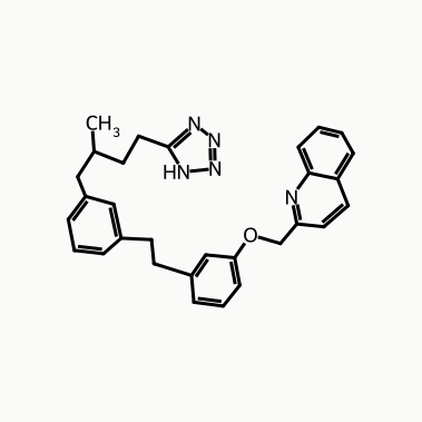 CC(CCc1nnn[nH]1)Cc1cccc(CCc2cccc(OCc3ccc4ccccc4n3)c2)c1